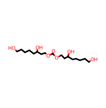 O=C(OCCC(O)CCCCCO)OCCC(O)CCCCCO